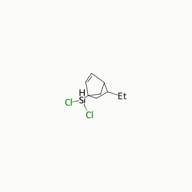 CCC1CC2([SiH](Cl)Cl)C=CC1C2